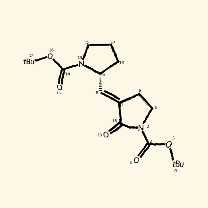 CC(C)(C)OC(=O)N1CC/C(=C\[C@H]2CCCN2C(=O)OC(C)(C)C)C1=O